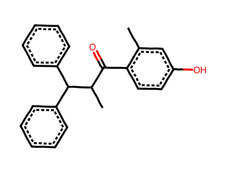 Cc1cc(O)ccc1C(=O)C(C)C(c1ccccc1)c1ccccc1